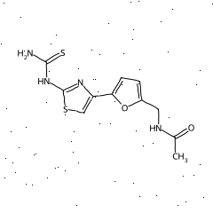 CC(=O)NCc1ccc(-c2csc(NC(N)=S)n2)o1